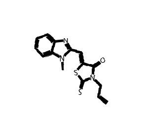 C=CCN1C(=O)C(=Cc2nc3ccccc3n2C)SC1=S